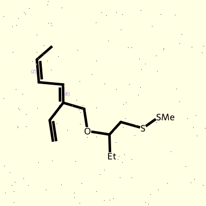 C=C/C(=C\C=C/C)COC(CC)CSSC